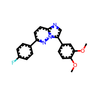 COc1ccc(-c2cnc3ccc(-c4ccc(F)cc4)nn23)cc1OC